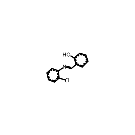 Oc1ccccc1/C=N/c1ccccc1Cl